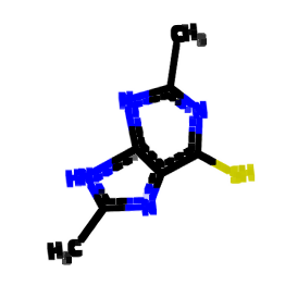 Cc1nc(S)c2nc(C)[nH]c2n1